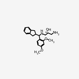 COc1ccc(C(NC[C@H](O)CN)C2Cc3ccccc3C2)c(OC)c1